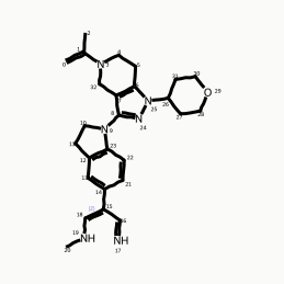 C=C(C)N1CCc2c(c(N3CCc4cc(/C(C=N)=C/NC)ccc43)nn2C2CCOCC2)C1